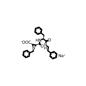 O=C(NCCc1ccccc1)[C@H](Cc1ccccc1)NC(=O)[C@@H]1[C@@H](C(=O)[O-])N1Cc1ccccc1.[Na+]